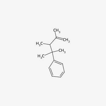 C=C(C)C(C)C(C)(C)c1ccccc1